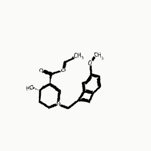 CCOC(=O)[C@H]1CN(CC2=Cc3ccc(OC)cc32)CC[C@@H]1O